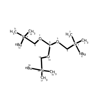 CCCC[Si](C)(C)COP(OC[Si](C)(C)CCCC)OC[Si](C)(C)CCCC